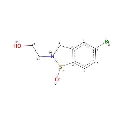 [O-][S+]1c2ccc(Br)cc2CN1CCO